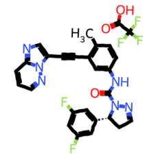 Cc1ccc(NC(=O)N2N=CC[C@@H]2c2cc(F)cc(F)c2)cc1C#Cc1cnc2cccnn12.O=C(O)C(F)(F)F